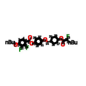 CCCCOc1ccc(C(=O)Oc2ccc(OC[C@H]3CC[C@H](OC(=O)[C@@H](F)CCCC)CC3)cc2)c(F)c1F